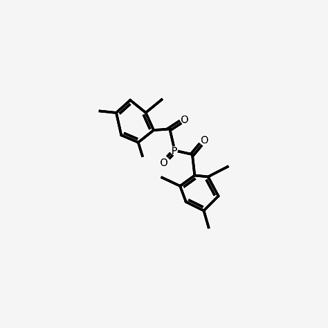 Cc1cc(C)c(C(=O)[P](=O)C(=O)c2c(C)cc(C)cc2C)c(C)c1